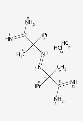 CC(C)C(C)(N=NC(C)(C(=N)N)C(C)C)C(=N)N.Cl.Cl